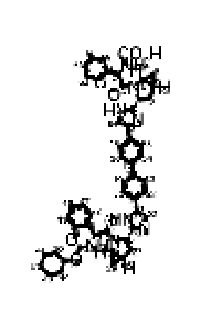 O=C(O)N[C@@H](C(=O)N1[C@@H]2C[C@@H]2C[C@H]1c1nc(-c2ccc(-c3ccc(-c4cnc([C@@H]5C[C@@H]6C[C@H]6N5C(=O)[C@H](NC(=O)OC5CCCCC5)c5ccccc5)[nH]4)cc3)cc2)c[nH]1)c1ccccc1